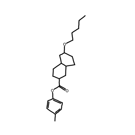 CCCCCOC1CCC2CC(C(=O)Oc3ccc(C)cc3)CCC2C1